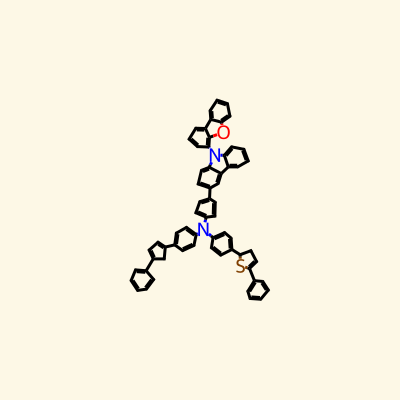 C1=C(c2ccccc2)CC(c2ccc(N(c3ccc(-c4ccc5c(c4)c4ccccc4n5-c4cccc5c4oc4ccccc45)cc3)c3ccc(C4CC=C(c5ccccc5)S4)cc3)cc2)=C1